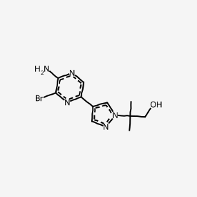 CC(C)(CO)n1cc(-c2cnc(N)c(Br)n2)cn1